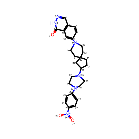 O=c1[nH]ncc2ccc(N3CCC4(CCC(N5CCN(c6ccc([N+](=O)[O-])cc6)CC5)C4)CC3)cc12